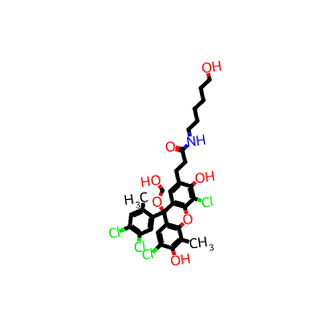 Cc1cc(Cl)c(Cl)cc1C1(OCO)c2cc(Cl)c(O)c(C)c2Oc2c1cc(CCC(=O)NCCCCCCO)c(O)c2Cl